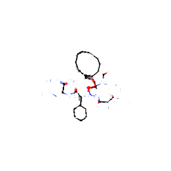 CC(C)CC(C)(C(=O)N[C@H](C(=O)N[C@@H](CN)C(N)=O)C1CCCCC1)N(C)C(=O)[C@@H]1CCCCCCCC[C@H]1OC[C@@H](C)NC(=O)[C@@H](C)[C@H](C)O